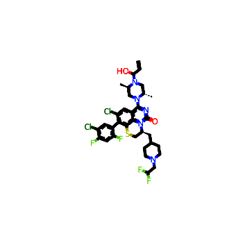 C=CC(O)N1C[C@H](C)N(c2nc(=O)n3c4c(c(-c5cc(Cl)c(F)cc5F)c(Cl)cc24)SC[C@@H]3CC2CCN(CC(F)F)CC2)C[C@H]1C